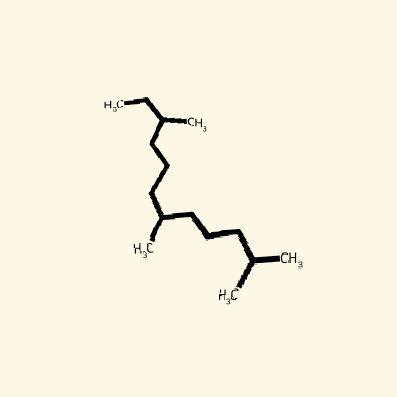 CC[C](C)CCCC(C)CCCC(C)C